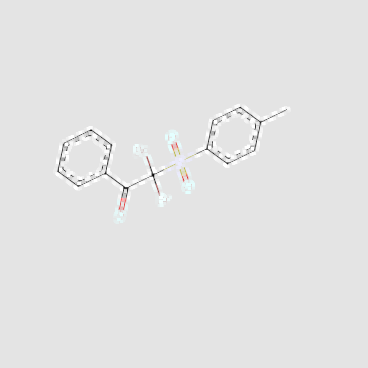 Cc1ccc(S(=O)(=O)C(Br)(Br)C(=O)c2ccccc2)cc1